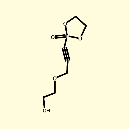 O=P1(C#CCOCCO)OCCO1